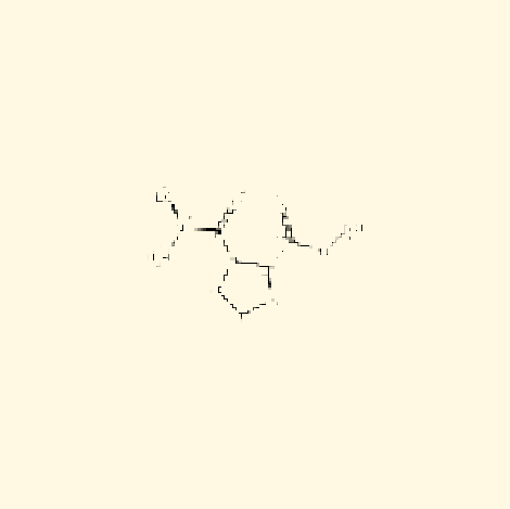 C[C@H](N)C(=O)N1CCC[C@H]1C(=O)ON=O